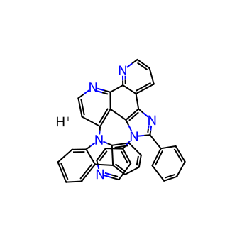 [H+].c1ccc(-c2nc3c4cccnc4c4nccc(-n5c6ccccc6c6ccccc65)c4c3n2-c2ccncc2)cc1